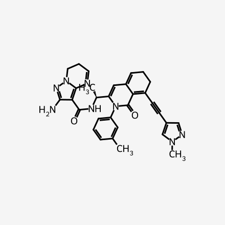 Cc1cccc(-n2c([C@H](C)NC(=O)c3c(N)nn4c3N=CCC4)cc3c(c2=O)=C(C#Cc2cnn(C)c2)CCC=3)c1